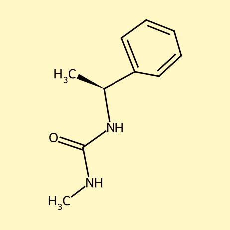 CNC(=O)N[C@@H](C)c1ccccc1